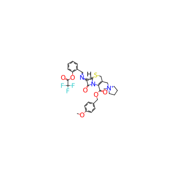 COc1ccc(COC(=O)C2=C(C[N+]3(C)CCCC3)CS[C@@H]3[C@H](N=Cc4ccccc4OC(=O)C(F)(F)F)C(=O)N23)cc1